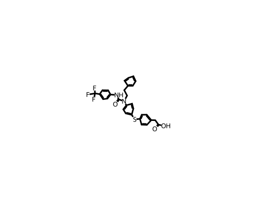 O=C(O)Cc1ccc(Sc2ccc(N(CCc3ccccc3)C(=O)Nc3ccc(C(F)(F)F)cc3)cc2)cc1